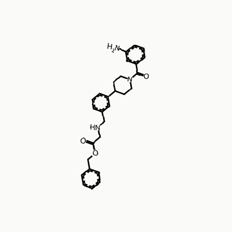 Nc1cccc(C(=O)N2CCC(c3cccc(CNCC(=O)OCc4ccccc4)c3)CC2)c1